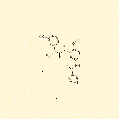 CCOc1ccc(NC(=O)c2cncs2)cc1C(=O)NC(C)c1cccc(C)c1